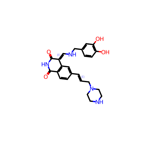 O=C1NC(=O)c2ccc(/C=C/CN3CCNCC3)cc2/C1=C\NCc1ccc(O)c(O)c1